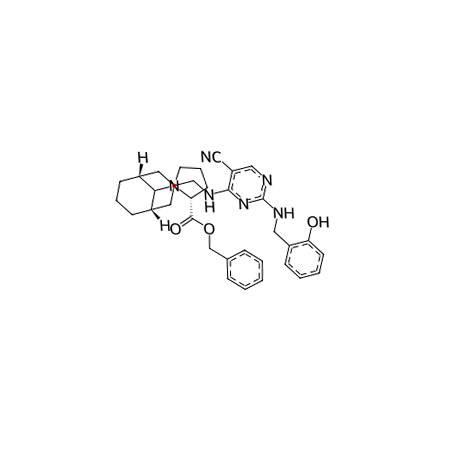 N#Cc1cnc(NCc2ccccc2O)nc1NCC1C[C@H]2CCC[C@@H](C1)C2N1CCC[C@@H]1C(=O)OCc1ccccc1